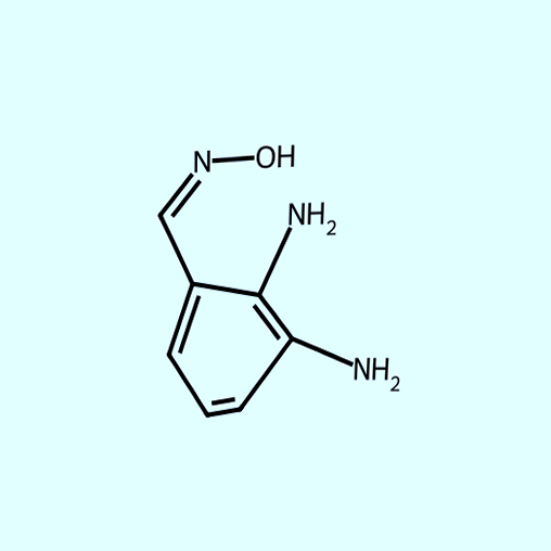 Nc1cccc(/C=N\O)c1N